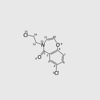 O=C1c2cc(Cl)ccc2OC=CN1CCCl